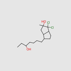 CCC(O)CCCCC1CCC2C1CC(C)(O)C2(Cl)Cl